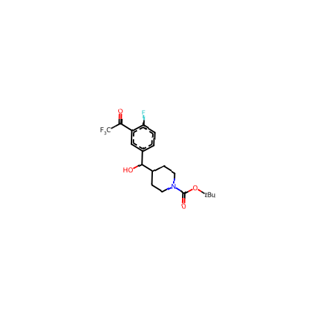 CC(C)(C)OC(=O)N1CCC(C(O)c2ccc(F)c(C(=O)C(F)(F)F)c2)CC1